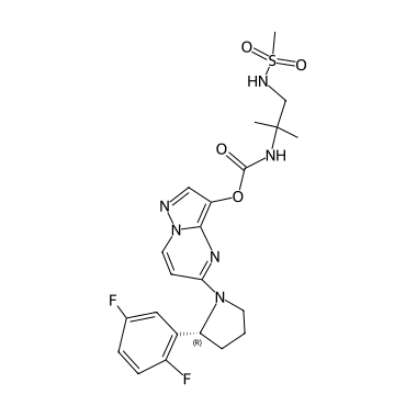 CC(C)(CNS(C)(=O)=O)NC(=O)Oc1cnn2ccc(N3CCC[C@@H]3c3cc(F)ccc3F)nc12